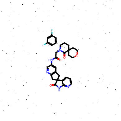 O=C(CN1C(=O)C2(CCOCC2)CC[C@H]1c1cc(F)cc(F)c1)Nc1cnc2c(c1)CC1(C2)C(=O)Nc2ncccc21